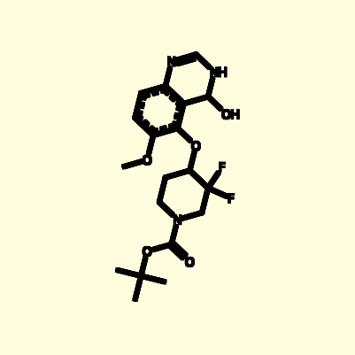 COc1ccc2c(c1OC1CCN(C(=O)OC(C)(C)C)CC1(F)F)C(O)NC=N2